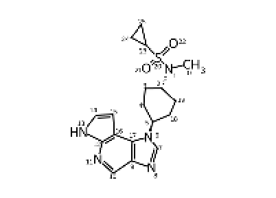 CN([C@H]1CC[C@H](n2cnc3cnc4[nH]ccc4c32)CC1)S(=O)(=O)C1CC1